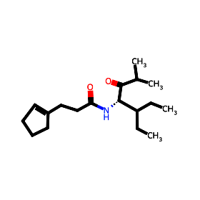 CCC(CC)[C@H](NC(=O)CCC1=CCCC1)C(=O)C(C)C